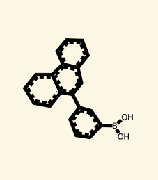 OB(O)c1cccc(-c2cc3ccccc3c3ccccc23)c1